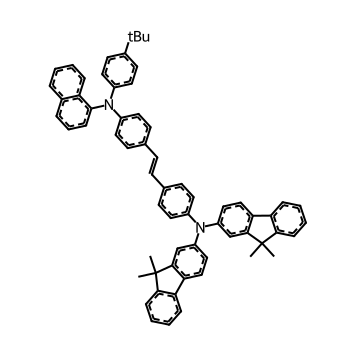 CC(C)(C)c1ccc(N(c2ccc(/C=C/c3ccc(N(c4ccc5c(c4)C(C)(C)c4ccccc4-5)c4ccc5c(c4)C(C)(C)c4ccccc4-5)cc3)cc2)c2cccc3ccccc23)cc1